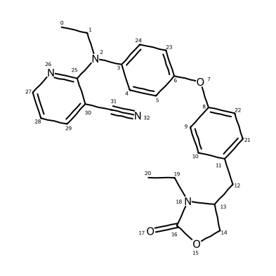 CCN(c1ccc(Oc2ccc(CC3COC(=O)N3CC)cc2)cc1)c1ncccc1C#N